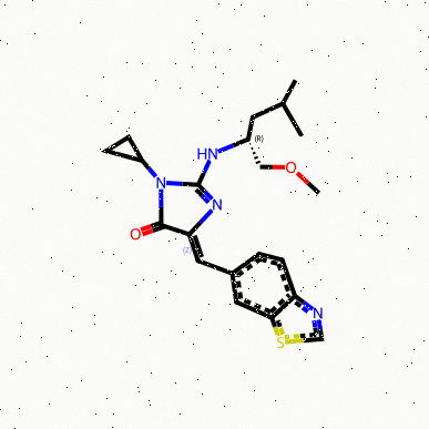 COC[C@@H](CC(C)C)NC1=N/C(=C\c2ccc3ncsc3c2)C(=O)N1C1CC1